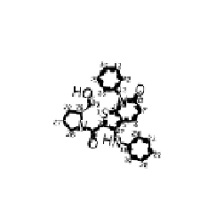 O=C(c1sc2c(ccc(=O)n2-c2ccccc2)c1Nc1ccccc1)N1CCC[C@H]1CO